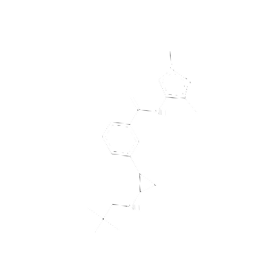 Cc1nn(C)cc1NC(=O)c1cccc(C2CC2NCC(C)(C)C)c1